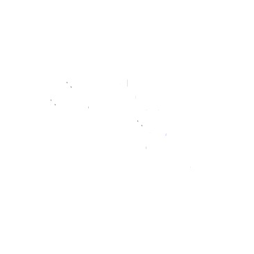 CCC/C=C1/SC(=O)N(CCCOc2cccn3ccnc23)C1=O.Cl